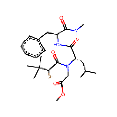 CNC(=O)[C@H](Cc1ccccc1)NC(=O)[C@H](CC(C)C)N(CC(=O)OC)C(=O)C(S)C(C)(C)C